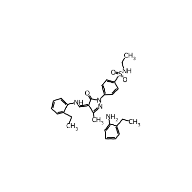 CCNS(=O)(=O)c1ccc(N2N=C(C)C(=CNc3ccccc3CC)C2=O)cc1.CCc1ccccc1N